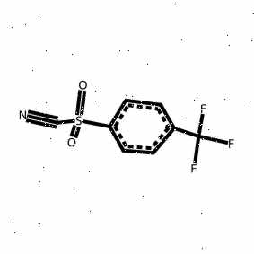 N#CS(=O)(=O)c1ccc(C(F)(F)F)cc1